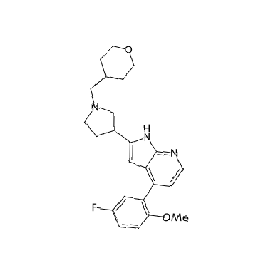 COc1ccc(F)cc1-c1ccnc2[nH]c(C3CCN(CC4CCOCC4)C3)cc12